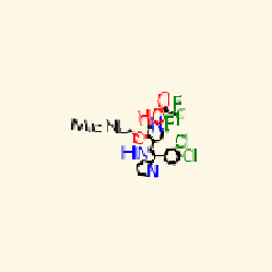 CNCCOc1cnccc1-c1[nH]c2cccnc2c1-c1ccc(Cl)c(Cl)c1.O=C(O)C(F)(F)F